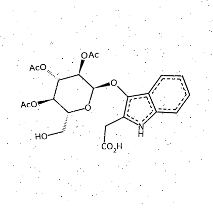 CC(=O)O[C@@H]1[C@@H](OC(C)=O)[C@@H](Oc2c(CC(=O)O)[nH]c3ccccc23)O[C@H](CO)[C@H]1OC(C)=O